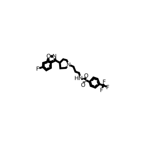 O=S(=O)(NCCCN1CCC(c2noc3cc(F)ccc23)CC1)c1ccc(C(F)(F)F)cc1